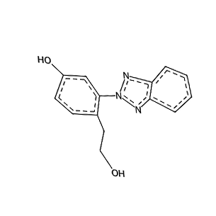 OCCc1ccc(O)cc1-n1nc2ccccc2n1